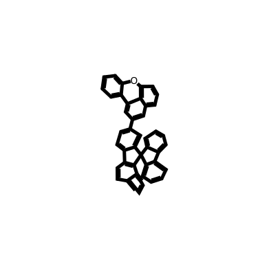 c1ccc2c(c1)Oc1cccc3cc(-c4ccc5c(c4)C4(c6ccccc6-c6ccccc64)c4c-5ccc5ccccc45)cc-2c13